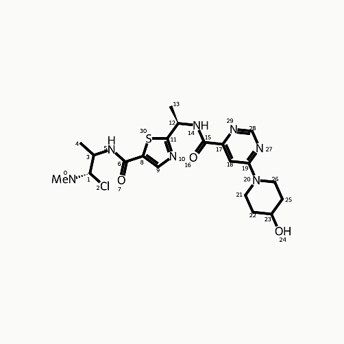 CN[C@@H](Cl)C(C)NC(=O)c1cnc([C@@H](C)NC(=O)c2cc(N3CCC(O)CC3)ncn2)s1